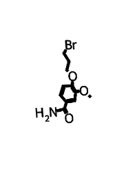 COc1cc(C(N)=O)ccc1OCCCBr